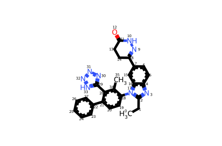 CCc1nc2ccc(C3=NNC(=O)CC3)cc2n1-c1ccc(-c2ccccc2)c(-c2nnn[nH]2)c1C